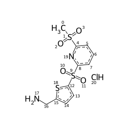 CS(=O)(=O)c1cccc(S(=O)(=O)c2ccc(CN)s2)n1.Cl